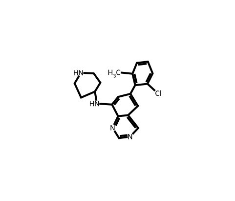 Cc1cccc(Cl)c1-c1cc(NC2CCNCC2)c2ncncc2c1